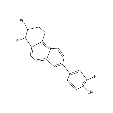 CCC1CCc2c(ccc3cc(-c4ccc(C#N)c(F)c4)ccc23)C1F